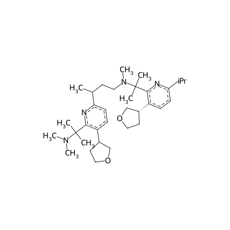 CC(C)c1ccc([C@@H]2CCOC2)c(C(C)(C)N(C)CCC(C)c2ccc(C3CCOC3)c(C(C)(C)N(C)C)n2)n1